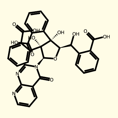 O=C(O)c1ccccc1C(O)[C@H]1O[C@@H](n2cnc3ncccc3c2=O)[C@@](O)(c2ccccc2C(=O)O)[C@@]1(O)c1ccccc1C(=O)O